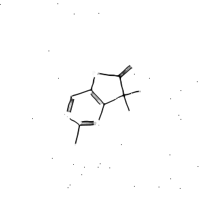 O=C1Nc2cnc(Cl)nc2C1(Br)Br